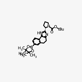 CC(C)(C)OC(=O)N1CCC[C@H]1c1nc2c([nH]1)-c1ccc(B3OC(C)(C)C(C)(C)O3)cc1CC2